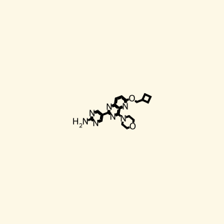 Nc1ncc(-c2nc(N3CCOCC3)c3nc(OCC4CCC4)ccc3n2)cn1